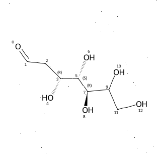 O=CC[C@@H](O)[C@H](O)[C@H](O)C(O)CO